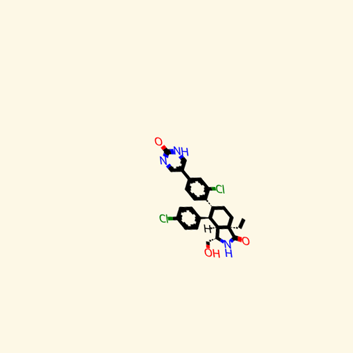 CC[C@@]12CC[C@@H](c3ccc(-c4cnc(=O)[nH]c4)cc3Cl)[C@H](c3ccc(Cl)cc3)[C@@H]1[C@@H](CO)NC2=O